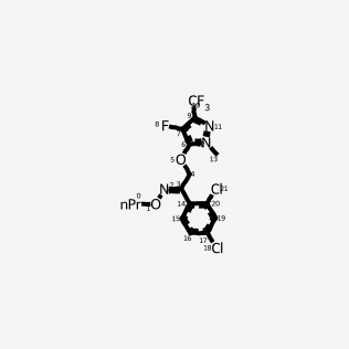 CCCO/N=C(/COc1c(F)c(C(F)(F)F)nn1C)c1ccc(Cl)cc1Cl